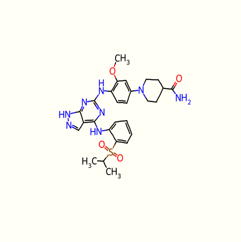 COc1cc(N2CCC(C(N)=O)CC2)ccc1Nc1nc(Nc2ccccc2S(=O)(=O)C(C)C)c2cn[nH]c2n1